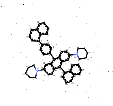 c1ccc2c(-c3ccc(-c4c5cc(N6CCCCC6)ccc5c(-c5cccc6ccccc56)c5cc(N6CCCCC6)ccc45)cc3)cccc2c1